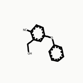 N#Cc1ccc(Oc2ccccc2)cc1CO